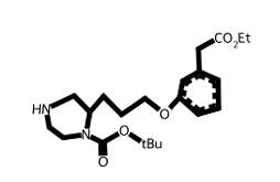 CCOC(=O)Cc1cccc(OCCCC2CNCCN2C(=O)OC(C)(C)C)c1